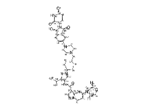 O=C1CCN(N2C(=O)c3ccc(N4CCN(CC5CCC(n6cc(NC(=O)c7cnn8ccc(N9C[C@H]%10C[C@@H]9CO%10)nc78)c(C(F)F)n6)CC5)CC4)cc3C2=O)C(=O)N1